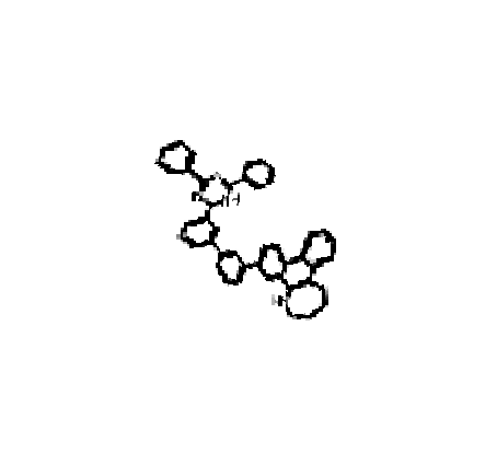 c1ccc(C2=NC(c3cccc(-c4cccc(-c5ccc6c(c5)c5c(c7ccccc76)CCCCN5)c4)c3)NC(c3ccccc3)=N2)cc1